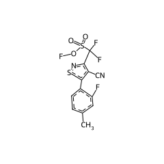 Cc1ccc(-c2snc(C(F)(F)S(=O)(=O)OF)c2C#N)c(F)c1